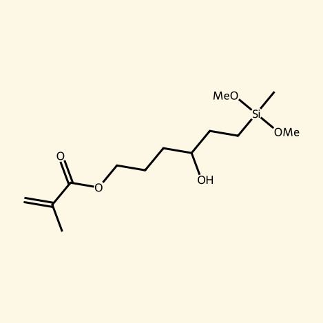 C=C(C)C(=O)OCCCC(O)CC[Si](C)(OC)OC